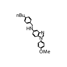 CCCCc1ccc(CNc2ccc3c(c2)ncn3-c2ccc(OC)cc2)cc1